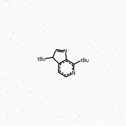 CC(C)(C)c1nccc2c1N=CC2C(C)(C)C